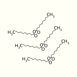 CCCCCCCCCC(=O)OC(=O)CCCCCCCCC.CCCCCCCCCC(=O)OC(=O)CCCCCCCCC.CCCCCCCCCC(=O)OC(=O)CCCCCCCCC